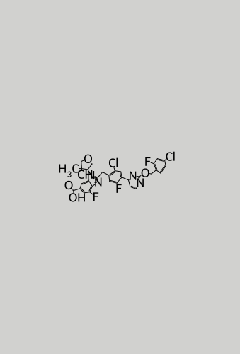 CC1(C)COCC1n1c(Cc2cc(F)c(-c3ccnc(OCc4ccc(Cl)cc4F)n3)cc2Cl)nc2c(F)cc(C(=O)O)cc21